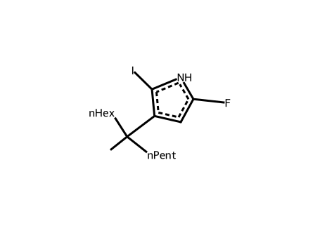 CCCCCCC(C)(CCCCC)c1cc(F)[nH]c1I